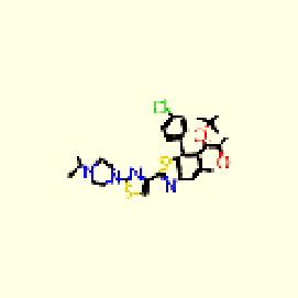 CC(=O)[C@@H](OC(C)(C)C)c1c(C)cc2nc(-c3csc(N4CCN(C(C)C)CC4)n3)sc2c1-c1ccc(Cl)cc1